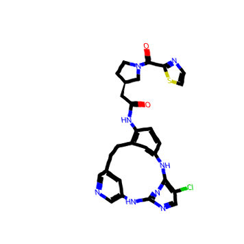 O=C(C[C@H]1CCN(C(=O)c2nccs2)C1)Nc1ccc2cc1CCc1cncc(c1)Nc1ncc(Cl)c(n1)N2